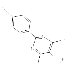 CCOC(=O)c1c(C)nc(-c2ccc(Cl)cc2)nc1C(C)CC